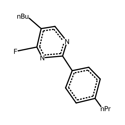 CCCCc1cnc(-c2ccc(CCC)cc2)nc1F